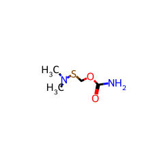 CN(C)SCOC(N)=O